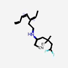 C=C/C=C\C(=C/C)CCNC(CC#N)CC(C)(CC)CC(F)F